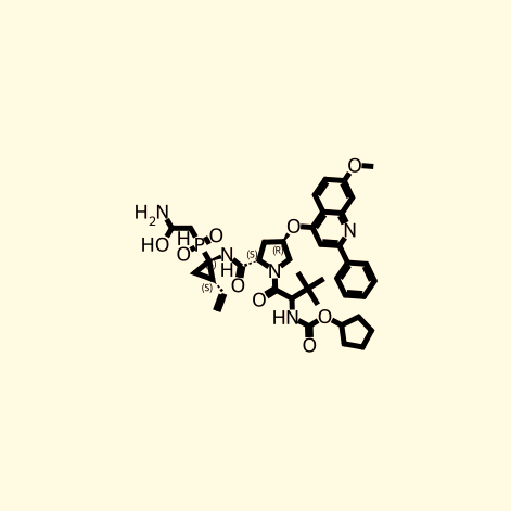 C=C[C@@H]1C[C@]1(NC(=O)[C@@H]1C[C@@H](Oc2cc(-c3ccccc3)nc3cc(OC)ccc23)CN1C(=O)C(NC(=O)OC1CCCC1)C(C)(C)C)P(=O)(O)CC(N)O